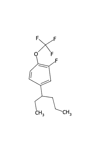 CCCC(CC)c1ccc(OC(F)(F)F)c(F)c1